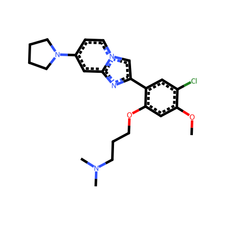 COc1cc(OCCCN(C)C)c(-c2cn3ccc(N4CCCC4)cc3n2)cc1Cl